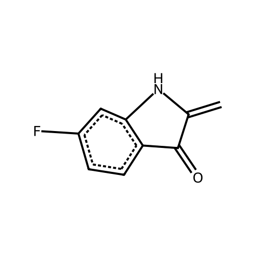 C=C1Nc2cc(F)ccc2C1=O